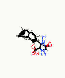 O=C1CNC(C(=O)O)C(c2ccc3ccccc3c2)N1